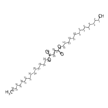 CCCCCCCCCCCCCCCCOC(=O)C=CC(=O)OCCCCCCCCCCCCCCCC